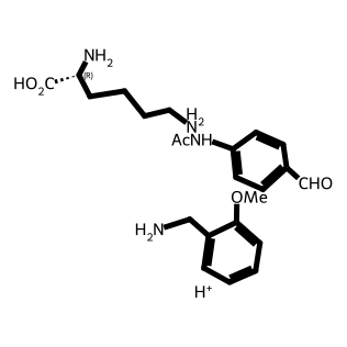 CC(=O)Nc1ccc(C=O)cc1.COc1ccccc1CN.NCCCC[C@@H](N)C(=O)O.[H+]